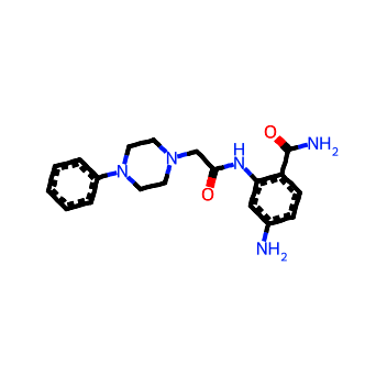 NC(=O)c1ccc(N)cc1NC(=O)CN1CCN(c2ccccc2)CC1